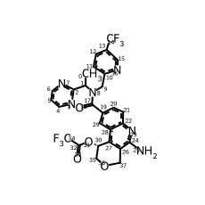 CC(c1ncccn1)N(Cc1ccc(C(F)(F)F)cn1)C(=O)c1ccc2nc(N)c3c(c2c1)[C@@H](OC(=O)C(F)(F)F)COC3